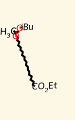 CCOC(=O)CCCCCCCCCCCCCCCCCCCCOC(C)COC(C)CC